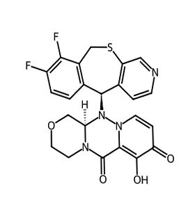 O=C1c2c(O)c(=O)ccn2N([C@@H]2c3ccncc3SCc3c2ccc(F)c3F)[C@@H]2COCCN12